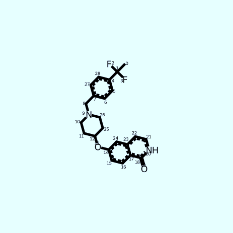 CC(F)(F)c1ccc(CN2CCC(Oc3ccc4c(=O)[nH]ccc4c3)CC2)cc1